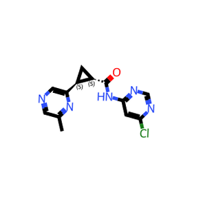 Cc1cncc([C@H]2C[C@@H]2C(=O)Nc2cc(Cl)ncn2)n1